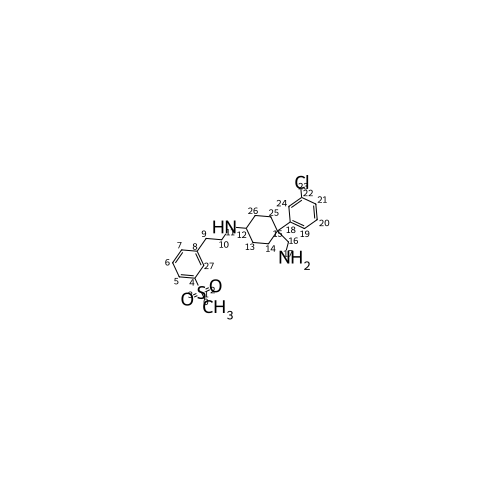 CS(=O)(=O)c1cccc(CCNC2CCC(CN)(c3cccc(Cl)c3)CC2)c1